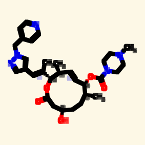 C/C(=C\c1cnn(Cc2ccncc2)c1)[C@H]1OC(=O)C[C@H](O)CC[C@H](C)[C@@H](OC(=O)N2CCN(C)CC2)/C=C/[C@@H]1C